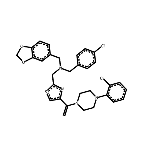 C=C(c1csc(CN(Cc2ccc(Cl)cc2)Cc2ccc3c(c2)OCO3)n1)N1CCN(c2ccccc2Cl)CC1